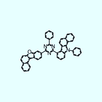 c1ccc(-c2nc(-c3ccc4c(c3)oc3ccc5ccccc5c34)nc(-c3cccc4c3c3ccc5ccccc5c3n4-c3ccccc3)n2)cc1